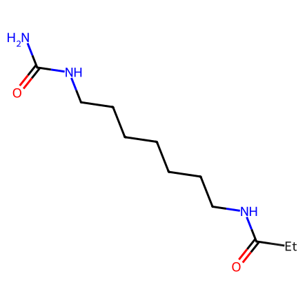 CCC(=O)NCCCCCCCNC(N)=O